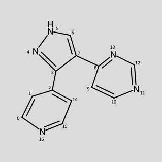 c1cc(-c2n[nH]cc2-c2ccncn2)ccn1